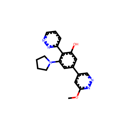 COc1cc(-c2cc(O)c(-c3cccnn3)c(N3CCCC3)c2)cnn1